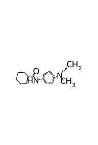 C=CCN(C)c1ccc(NC(=O)C2CCCCC2)cc1